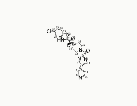 O=C(c1ncc(-c2ccncc2)cn1)N1CCN(S(=O)(=O)c2nc3ccc(Cl)cc3[nH]2)CC1